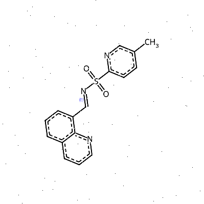 Cc1ccc(S(=O)(=O)/N=C/c2cccc3cccnc23)nc1